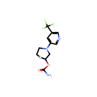 NC(=O)OC1CCCN(c2cncc(C(F)(F)F)c2)C1